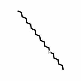 CCCCCCCCCCCCCC[P]CCCCCC